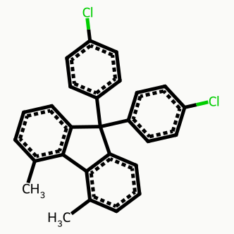 Cc1cccc2c1-c1c(C)cccc1C2(c1ccc(Cl)cc1)c1ccc(Cl)cc1